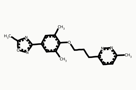 Cc1ccc(CCCOc2c(C)cc(-c3noc(C)n3)cc2C)nn1